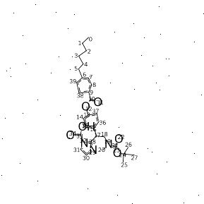 CCCCCCc1ccc(C(=O)Oc2ccc(C(CN(C)C(=O)OC(C)(C)C)c3nccn3C(=O)O)cc2)cc1